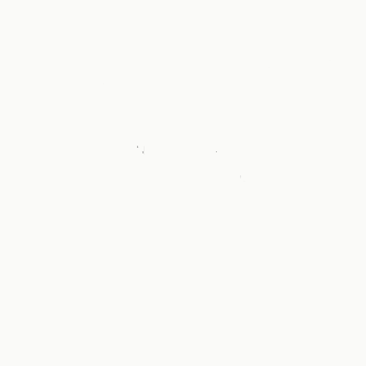 OC1(c2ccc(F)cc2)CCN(Cc2ccccc2)C(Cc2ccccc2)C1